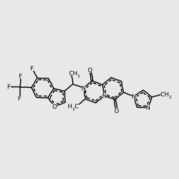 Cc1cn(-c2ccc3c(=O)n(C(C)c4coc5cc(C(F)(F)F)c(F)cc45)c(C)cn3c2=O)cn1